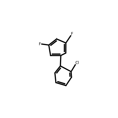 Fc1[c]c(F)cc(-c2ccccc2Cl)c1